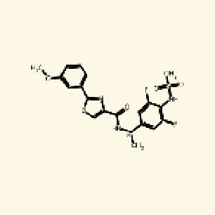 COc1cccc(-c2nc(C(=O)N[C@H](C)c3cc(F)c(NS(C)(=O)=O)c(F)c3)co2)c1